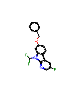 Fc1cnc2c(c1)c1ccc(OCc3ccccc3)cc1n2C(F)F